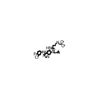 COC(CN(C)CC=CC(=O)Nc1cc2c(Nc3ccc(F)c(Cl)c3)ncnc2cc1OCC1CC1)OC